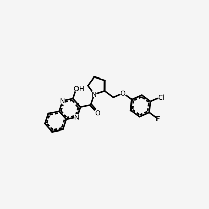 O=C(c1nc2ccccc2nc1O)N1CCCC1COc1ccc(F)c(Cl)c1